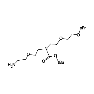 CCCOCCOCCN(CCOCCN)C(=O)OC(C)(C)C